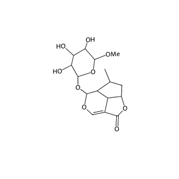 COC1OC(OC2OC=C3C(=O)OC4CC(C)C2C34)C(O)C(O)C1O